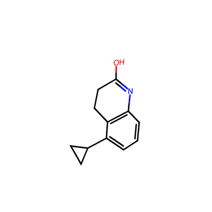 OC1=Nc2cccc(C3CC3)c2CC1